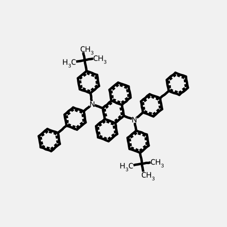 CC(C)(C)c1ccc(N(c2ccc(-c3ccccc3)cc2)c2c3ccccc3c(N(c3ccc(-c4ccccc4)cc3)c3ccc(C(C)(C)C)cc3)c3ccccc23)cc1